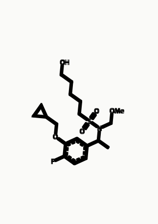 COCN(C(C)c1ccc(F)c(OCC2CC2)c1)S(=O)(=O)CCCCCO